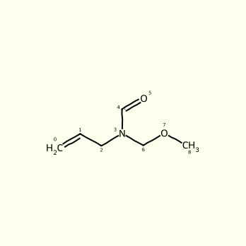 C=CCN([C]=O)COC